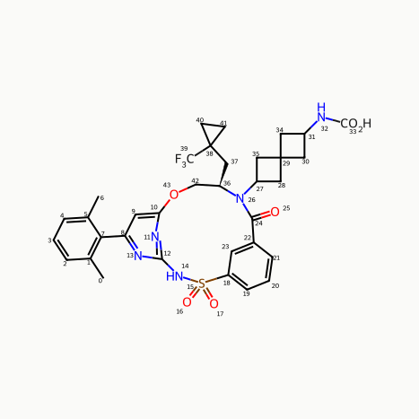 Cc1cccc(C)c1-c1cc2nc(n1)NS(=O)(=O)c1cccc(c1)C(=O)N(C1CC3(CC(NC(=O)O)C3)C1)[C@H](CC1(C(F)(F)F)CC1)CO2